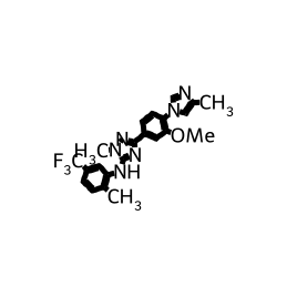 COc1cc(-c2nc(Nc3cc(C(F)(F)F)ccc3C)n(C)n2)ccc1-n1cnc(C)c1